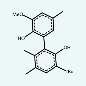 COc1cc(C)cc(-c2c(C)c(C)cc(C(C)(C)C)c2O)c1O